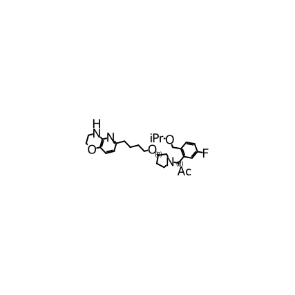 CC(=O)[C@@H](c1cc(F)ccc1COC(C)C)N1CC[C@@H](OCCCCc2ccc3c(n2)NCCO3)C1